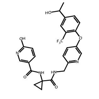 CC(O)c1ccc(Oc2ccc(CNC(=O)C3(NC(=O)c4ccc(O)nc4)CC3)nc2)c(C(F)(F)F)c1